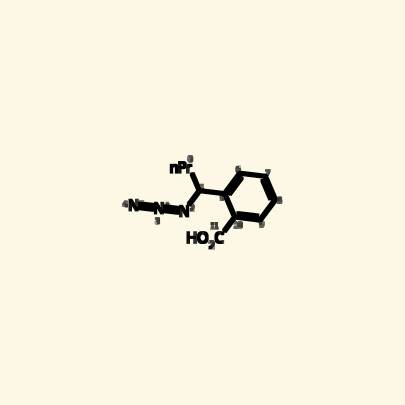 CCCC(N=[N+]=[N-])c1ccccc1C(=O)O